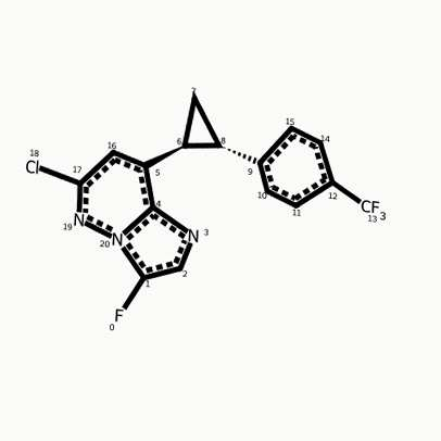 Fc1cnc2c([C@H]3C[C@@H]3c3ccc(C(F)(F)F)cc3)cc(Cl)nn12